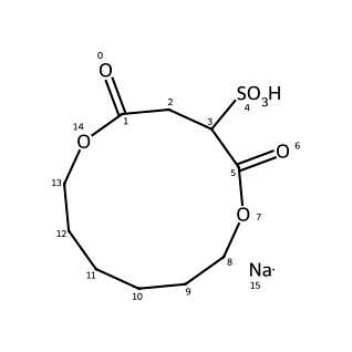 O=C1CC(S(=O)(=O)O)C(=O)OCCCCCCO1.[Na]